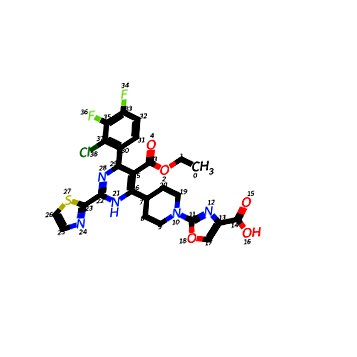 CCOC(=O)C1=C(C2CCN(c3nc(C(=O)O)co3)CC2)NC(c2nccs2)=NC1c1ccc(F)c(F)c1Cl